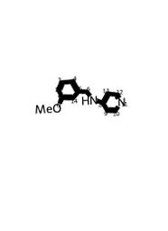 COc1cccc(CNc2ccncc2)c1